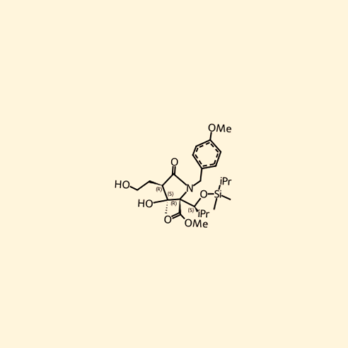 COC(=O)[C@]1([C@@H](O[Si](C)(C)C(C)C)C(C)C)N(Cc2ccc(OC)cc2)C(=O)[C@H](CCO)[C@]1(C)O